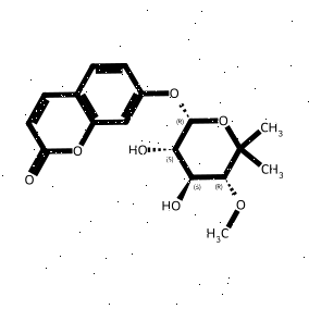 CO[C@@H]1[C@@H](O)[C@H](O)[C@H](Oc2ccc3ccc(=O)oc3c2)OC1(C)C